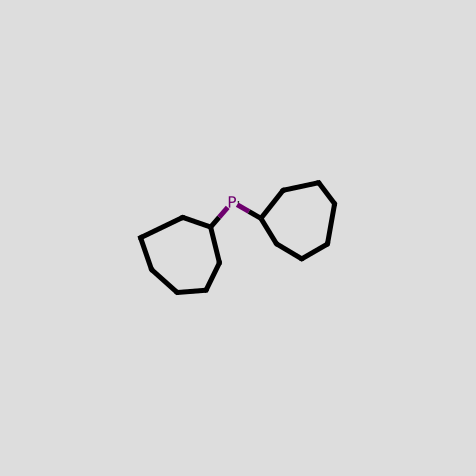 C1CCCC([P]C2CCCCCC2)CC1